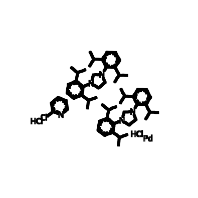 CC(C)c1cccc(C(C)C)c1N1CCN(c2c(C(C)C)cccc2C(C)C)C1.CC(C)c1cccc(C(C)C)c1N1CCN(c2c(C(C)C)cccc2C(C)C)C1.Cl.Cl.Clc1ccccn1.[Pd]